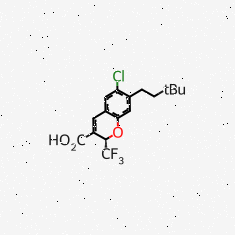 CC(C)(C)CCc1cc2c(cc1Cl)C=C(C(=O)O)[C@H](C(F)(F)F)O2